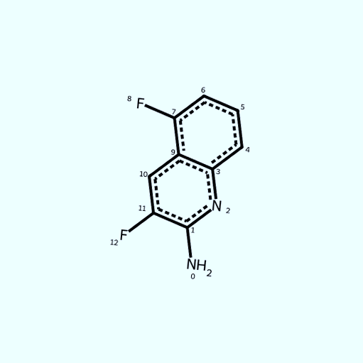 Nc1nc2cccc(F)c2cc1F